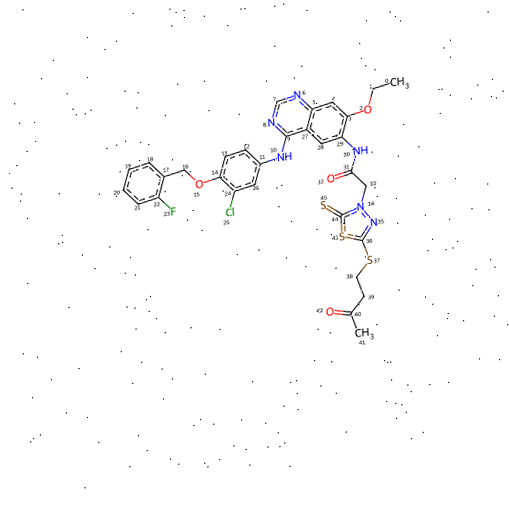 CCOc1cc2ncnc(Nc3ccc(OCc4ccccc4F)c(Cl)c3)c2cc1NC(=O)Cn1nc(SCCC(C)=O)sc1=S